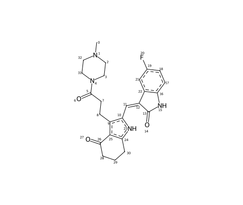 CN1CCN(C(=O)CCc2c(C=C3C(=O)Nc4ccc(F)cc43)[nH]c3c2C(=O)CCC3)CC1